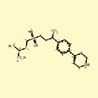 N=S(=O)(CCC(c1ccc(C2=CCNCC2)cc1)C(F)(F)F)CC[C@H](N)C(=O)O